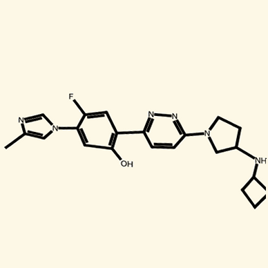 Cc1cn(-c2cc(O)c(-c3ccc(N4CCC(NC5CCC5)C4)nn3)cc2F)cn1